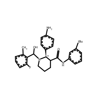 Cc1cccc(F)c1C(O)N1CCCC(C(=O)Nc2cccc(C(C)(C)C)c2)[C@@H]1c1ccc(N)cc1